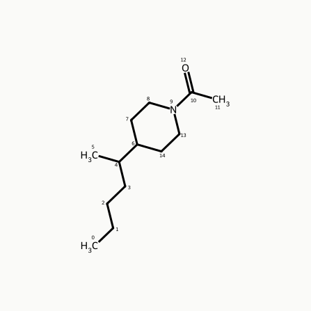 CCCCC(C)C1CCN(C(C)=O)CC1